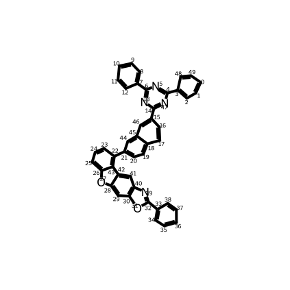 c1ccc(-c2nc(-c3ccccc3)nc(-c3ccc4ccc(-c5cccc6oc7cc8oc(-c9ccccc9)nc8cc7c56)cc4c3)n2)cc1